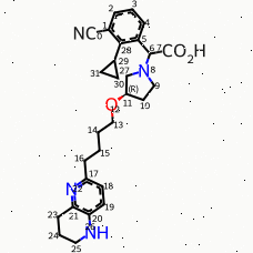 N#Cc1cccc(C(C(=O)O)N2CC[C@@H](OCCCCc3ccc4c(n3)CCCN4)C2)c1C1CC1